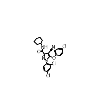 N#Cc1c(C(=O)NC2CCCCC2)nn(-c2ccc(Cl)cc2Cl)c1Oc1ccc(Cl)cc1